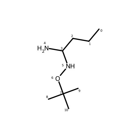 CCCC(N)NOC(C)(C)C